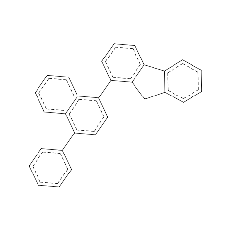 c1ccc(-c2ccc(-c3cccc4c3Cc3ccccc3-4)c3ccccc23)cc1